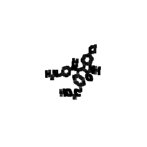 NCc1ccc(NC(=C2C(=O)Nc3cc(Cl)ccc32)c2ccc(CC(=O)O)cc2)cc1